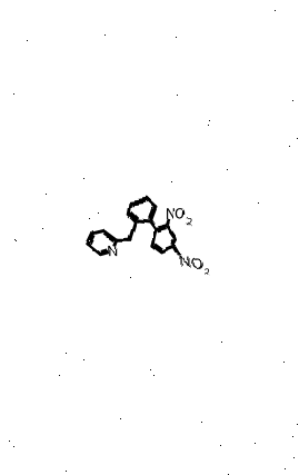 O=[N+]([O-])c1ccc(-c2ccccc2Cc2ccccn2)c([N+](=O)[O-])c1